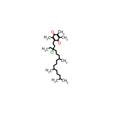 CCC(Cl)(CCCC(C)CCCC(C)CCCC(C)C)CCC1=C(C)C(=O)C(C)=C(C)C1=O